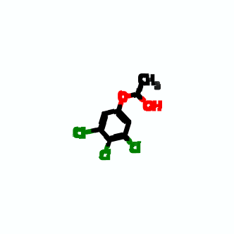 CC(O)Oc1cc(Cl)c(Cl)c(Cl)c1